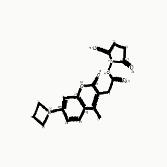 Cc1c(CC(=O)ON2C(=O)CCC2=O)c(=O)oc2cc(N3CCC3)ccc12